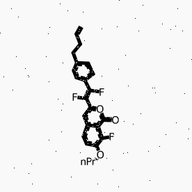 C=CCCc1ccc(/C(F)=C(\F)c2cc3ccc(OCCC)c(F)c3c(=O)o2)cc1